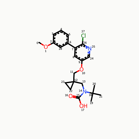 COc1cccc(-c2cc(OCC3(CN(C(=O)O)C(C)(C)C)CC3)cnc2Cl)c1